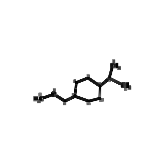 COCC1CCC(C(C)C)CC1